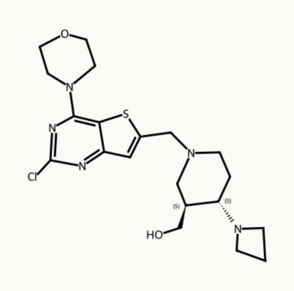 OC[C@H]1CN(Cc2cc3nc(Cl)nc(N4CCOCC4)c3s2)CC[C@@H]1N1CCC1